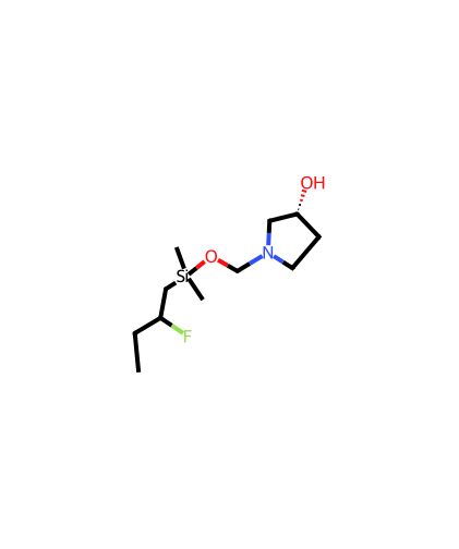 CCC(F)C[Si](C)(C)OCN1CC[C@@H](O)C1